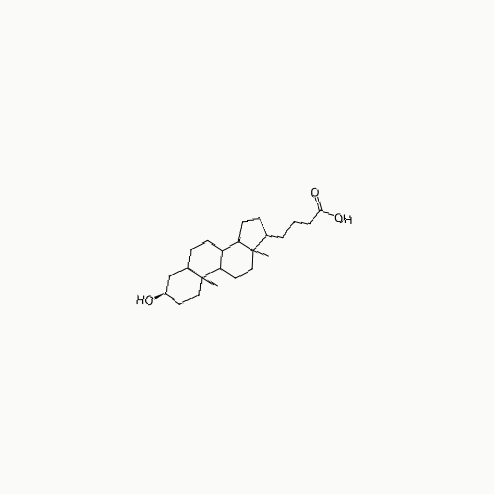 CC12CCC3C(CCC4C[C@H](O)CCC43C)C1CCC2CCCC(=O)O